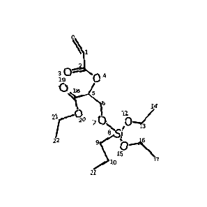 C=CC(=O)OC(CO[Si](CCC)(OCC)OCC)C(=O)OCC